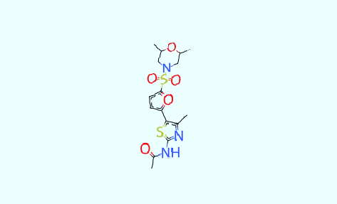 CC(=O)Nc1nc(C)c(-c2ccc(S(=O)(=O)N3CC(C)OC(C)C3)o2)s1